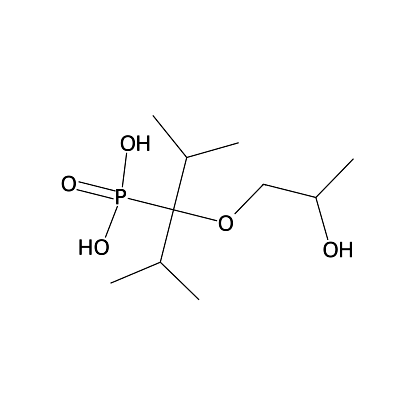 CC(O)COC(C(C)C)(C(C)C)P(=O)(O)O